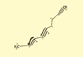 C#CCCC#CC#CC